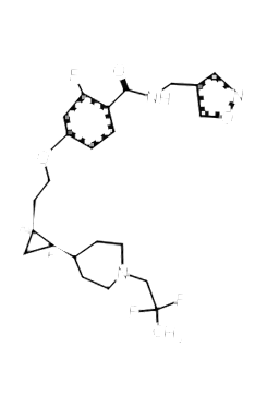 CC(F)(F)CN1CCC([C@H]2C[C@H]2CCOc2ccc(C(=O)NCc3cnoc3)c(F)c2)CC1